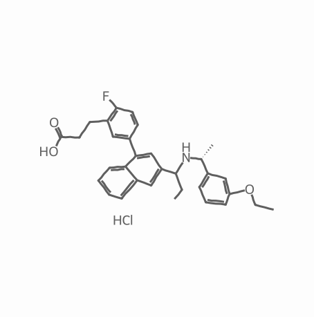 CCOc1cccc([C@@H](C)NC(CC)c2cc(-c3ccc(F)c(CCC(=O)O)c3)c3ccccc3c2)c1.Cl